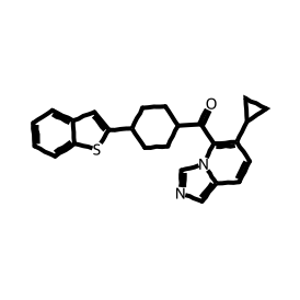 O=C(c1c(C2CC2)ccc2cncn12)C1CCC(c2cc3ccccc3s2)CC1